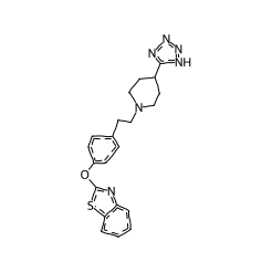 c1ccc2sc(Oc3ccc(CCN4CCC(c5nnn[nH]5)CC4)cc3)nc2c1